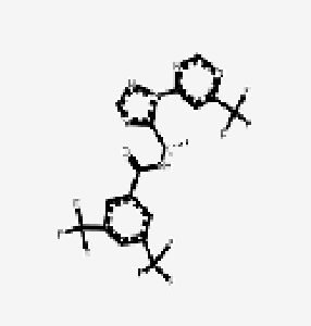 C[C@H](NC(=O)c1cc(C(F)(F)F)cc(C(F)(F)F)c1)c1ncnn1-c1cc(C(F)(F)F)ncn1